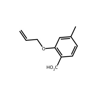 C=CCOc1cc(C)ccc1C(=O)O